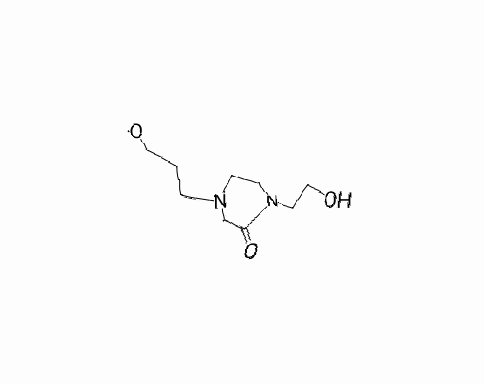 [O]CCCN1CCN(CCO)C(=O)C1